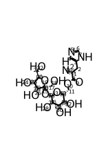 N[C@@H](Cc1cnc[nH]1)C(=O)OC[C@H]1O[C@H](O[C@]2(CO)O[C@H](CO)[C@@H](O)[C@@H]2O)[C@H](O)[C@@H](O)[C@@H]1O